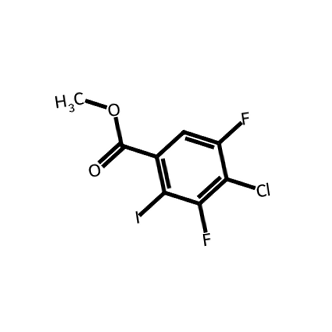 COC(=O)c1cc(F)c(Cl)c(F)c1I